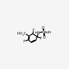 CCCS(=O)(=O)NC1(F)C=CC(F)=C(C(=O)O)C1F